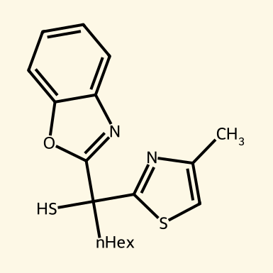 CCCCCCC(S)(c1nc2ccccc2o1)c1nc(C)cs1